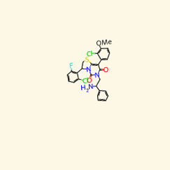 COc1cccc(-c2c3n(c(=O)n(CC(N)c4ccccc4)c2=O)C(c2c(F)cccc2Cl)CS3)c1Cl